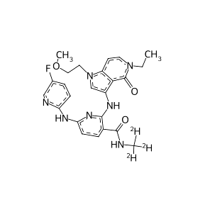 [2H]C([2H])([2H])NC(=O)c1ccc(Nc2ccc(F)cn2)nc1Nc1cn(CCOC)c2ccn(CC)c(=O)c12